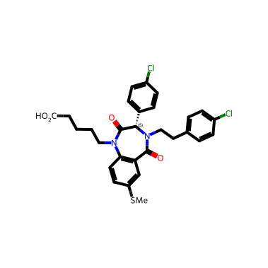 CSc1ccc2c(c1)C(=O)N(CCc1ccc(Cl)cc1)[C@@H](c1ccc(Cl)cc1)C(=O)N2CCCCC(=O)O